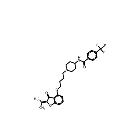 CC(C)=C1Oc2cccc(OCCCCN3CCC(NC(=O)c4ccc(C(F)(F)F)cc4)CC3)c2C1=O